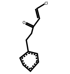 O=C(C=CCl)CCc1ccccc1